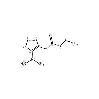 CCOC(=O)Cc1ccsc1N(C)C